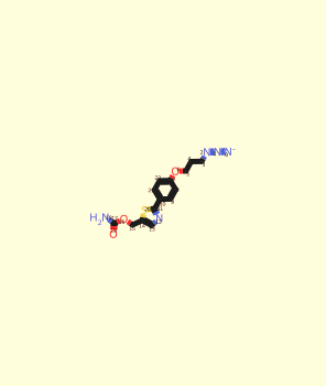 [N-]=[N+]=NCCCOc1ccc(-c2ncc(COC(N)=O)s2)cc1